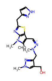 CN(Cc1nn(C)cc1CO)/N=C\c1c(C=O)n(C)c2nc(Cc3cc[nH]n3)sc12